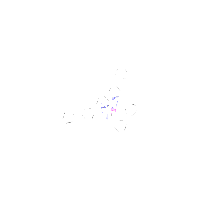 c1ccc(-c2ccc(-c3nc(-c4ccc(-c5ccccc5)cc4)nc(-c4cccc5oc6cccc(-c7nc8ccccc8o7)c6c45)n3)cc2)cc1